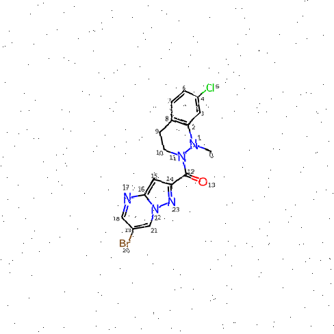 CN1c2cc(Cl)ccc2CCN1C(=O)c1cc2ncc(Br)cn2n1